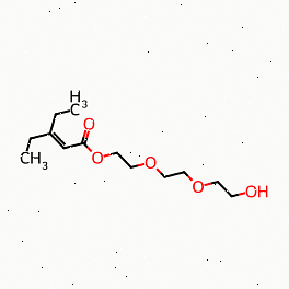 CCC(=CC(=O)OCCOCCOCCO)CC